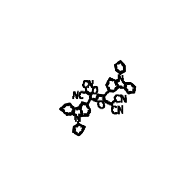 N#CC(C#N)=c1oc2c(-c3ccc4c(c3)c3ccccc3n4-c3ccccc3)c(=C(C#N)C#N)oc2c1-c1ccc2c(c1)c1ccccc1n2-c1ccccc1